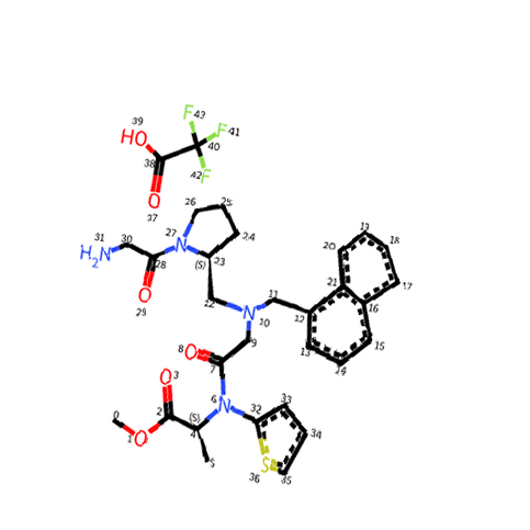 COC(=O)[C@H](C)N(C(=O)CN(Cc1cccc2ccccc12)C[C@@H]1CCCN1C(=O)CN)c1cccs1.O=C(O)C(F)(F)F